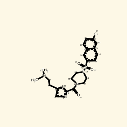 CN(C)CCc1cnc(C(=O)N2CCN(S(=O)(=O)c3ccc4cc(Cl)ccc4c3)CC2)s1